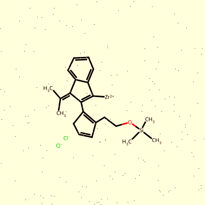 CC(C)=C1C(C2=C(CCO[Si](C)(C)C)C=CC2)=[C]([Zr+2])c2ccccc21.[Cl-].[Cl-]